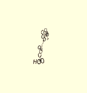 O=C(O)c1ccc2c(c1)CCN(C(=O)CCCCOCc1c(-c3c(Cl)cccc3Cl)noc1C1CC1)C2